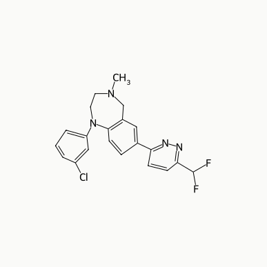 CN1CCN(c2cccc(Cl)c2)c2ccc(-c3ccc(C(F)F)nn3)cc2C1